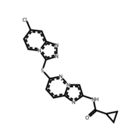 O=C(Nc1cn2nc(Sc3nnc4cc(Cl)ccn34)ccc2n1)C1CC1